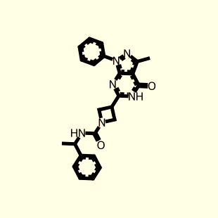 Cc1nn(-c2ccccc2)c2nc(C3CN(C(=O)NC(C)c4ccccc4)C3)[nH]c(=O)c12